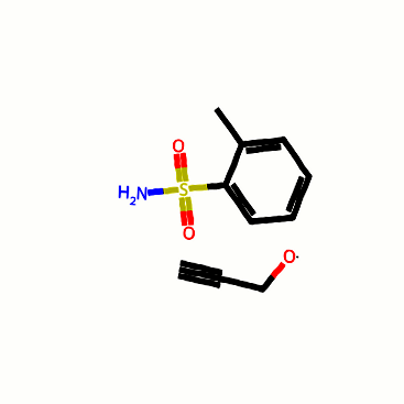 C#CC[O].Cc1ccccc1S(N)(=O)=O